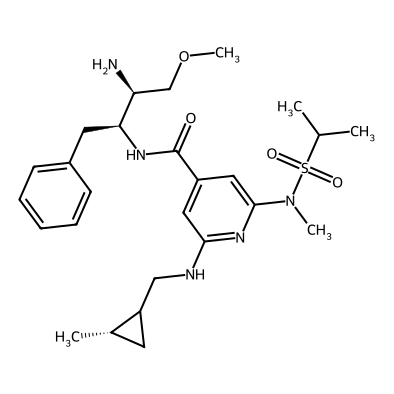 COC[C@H](N)[C@H](Cc1ccccc1)NC(=O)c1cc(NCC2C[C@@H]2C)nc(N(C)S(=O)(=O)C(C)C)c1